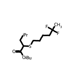 CC(C)COC(=O)C(CC(C)C)SCCCCC(C)(F)F